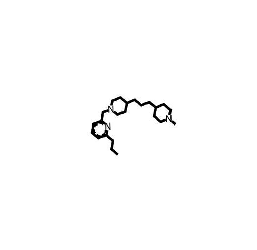 CCCc1cccc(CN2CCC(CCCC3CCN(C)CC3)CC2)n1